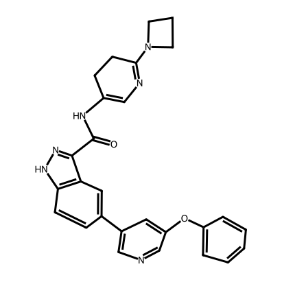 O=C(NC1=CN=C(N2CCC2)CC1)c1n[nH]c2ccc(-c3cncc(Oc4ccccc4)c3)cc12